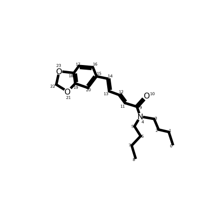 CCCCN(CCCC)C(=O)/C=C/C=Cc1ccc2c(c1)OCO2